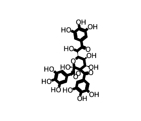 O=C(c1cc(O)c(O)c(O)c1)C(O)[C@H]1O[C@](O)(C(=O)c2cc(O)c(O)c(O)c2)[C@@](O)(C(=O)c2cc(O)c(O)c(O)c2)[C@@H](O)[C@@H]1O